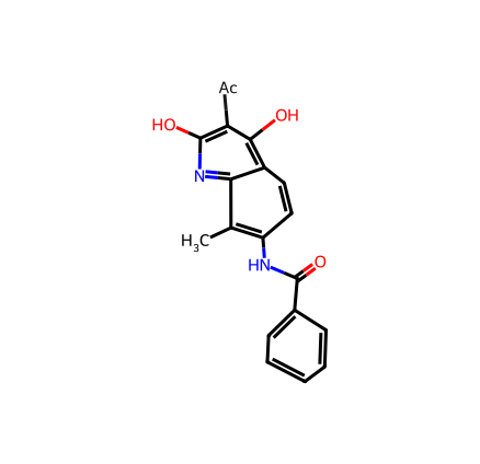 CC(=O)c1c(O)nc2c(C)c(NC(=O)c3ccccc3)ccc2c1O